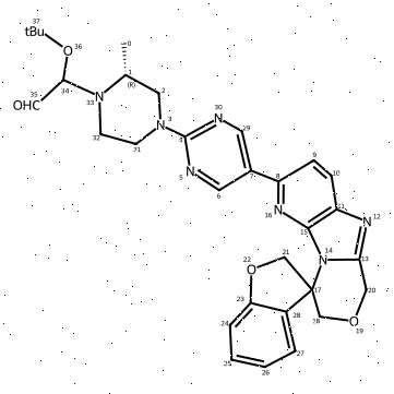 C[C@@H]1CN(c2ncc(-c3ccc4nc5n(c4n3)C3(COC5)COc4ccccc43)cn2)CCN1C(C=O)OC(C)(C)C